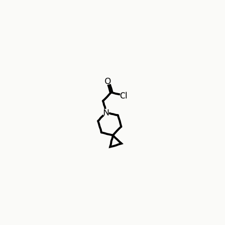 O=C(Cl)CN1CCC2(CC1)CC2